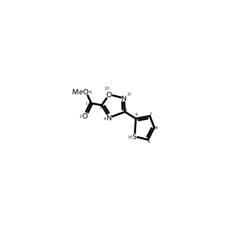 COC(=O)c1nc(-c2cccs2)no1